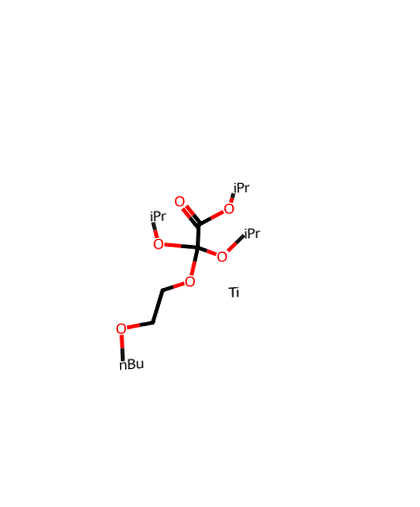 CCCCOCCOC(OC(C)C)(OC(C)C)C(=O)OC(C)C.[Ti]